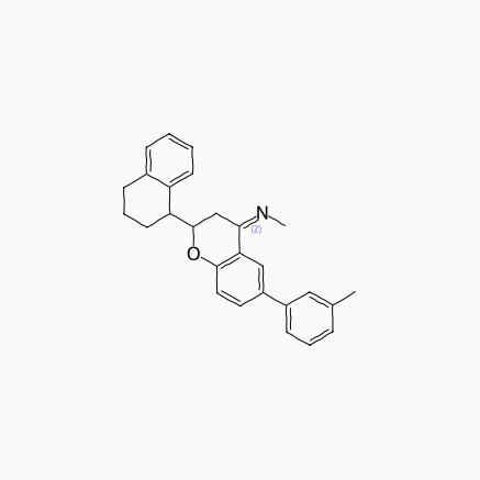 C/N=C1/CC(C2CCCc3ccccc32)Oc2ccc(-c3cccc(C)c3)cc21